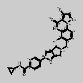 O=C(NC1CC1)c1ccc(-n2cc3c(n2)CN(Cc2ccc4c([nH]c(=O)c5c(F)cnn54)c2F)C3)cn1